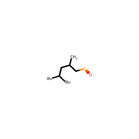 CCC(C)C(CC(C)CP=O)C(C)CC